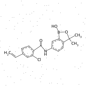 C=Cc1ccc(C(=O)Nc2ccc3c(c2)B(O)OC3(C)C)c(Cl)c1